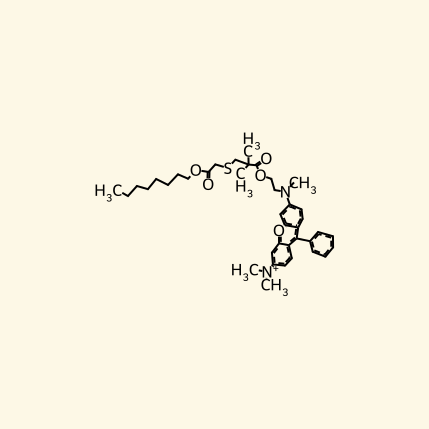 CCCCCCCCOC(=O)CSCC(C)(C)C(=O)OCCN(C)c1ccc2c(-c3ccccc3)c3ccc(=[N+](C)C)cc-3oc2c1